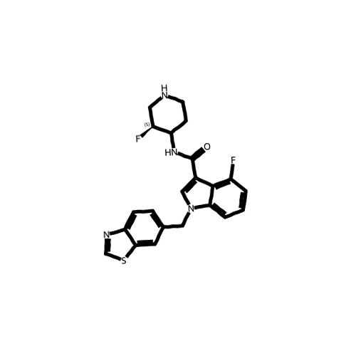 O=C(NC1CCNC[C@@H]1F)c1cn(Cc2ccc3ncsc3c2)c2cccc(F)c12